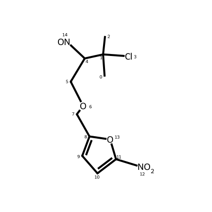 CC(C)(Cl)C(COCc1ccc([N+](=O)[O-])o1)N=O